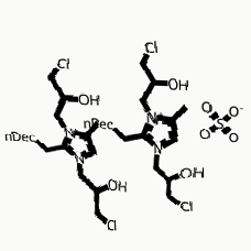 CCCCCCCCCCCc1n(CC(O)CCl)cc(C)[n+]1CC(O)CCl.CCCCCCCCCCCc1n(CC(O)CCl)cc(C)[n+]1CC(O)CCl.O=S(=O)([O-])[O-]